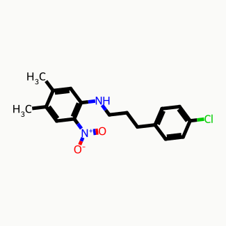 Cc1cc(NCCCc2ccc(Cl)cc2)c([N+](=O)[O-])cc1C